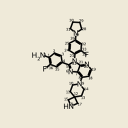 Nc1ccc(-c2nc3c(N4CCC5(CC4)CNC5)ccnc3n2-c2ccc(N3CCCC3)cc2F)cc1F